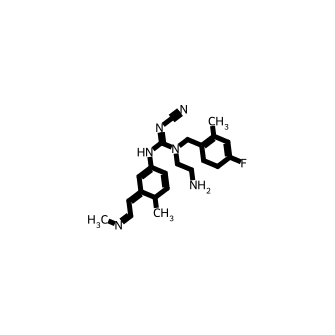 C/N=C\C=C1\C=C(N/C(=N/C#N)N(CCN)CC2=C(C)C=C(F)CC2)C=CC1C